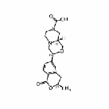 C[C@@H]1Cc2cc([C@H]3CN4CCN(C(=O)O)C[C@@H]4CO3)ccc2C(=O)O1